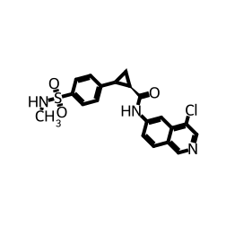 CNS(=O)(=O)c1ccc(C2C[C@H]2C(=O)Nc2ccc3cncc(Cl)c3c2)cc1